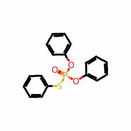 O=P(Oc1ccccc1)(Oc1ccccc1)Sc1ccccc1